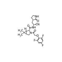 CC1(C)C2CN(C(=O)COc3c(F)cc(F)cc3F)[C@H](C(=O)N[C@H](C#N)CC3CCNC3=O)[C@H]21